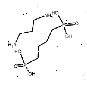 NCCCN.O=P(O)(O)CCCCP(=O)(O)O